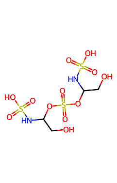 O=S(=O)(O)NC(CO)OS(=O)(=O)OC(CO)NS(=O)(=O)O